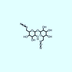 [N-]=[N+]=NCC1OC(OC2OC(CN=[N+]=[N-])C(O)C(O)C2O)C(O)C(O)C1O